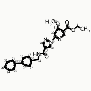 CCOC(=O)c1cnc(-n2cc(C(=O)NCc3ccc(-c4ccccc4)cc3)cn2)cc1OC